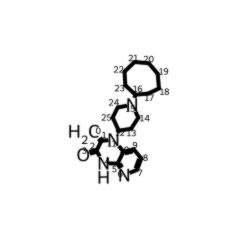 C=C1C(=O)Nc2ncccc2N1C1CCN(C2CCCCCCC2)CC1